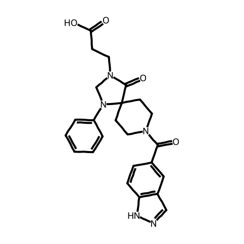 O=C(O)CCN1CN(c2ccccc2)C2(CCN(C(=O)c3ccc4[nH]ncc4c3)CC2)C1=O